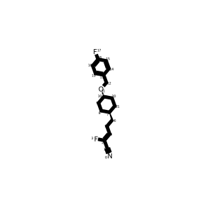 N#CC(F)=CCC[C@H]1CC[C@H](OCc2ccc(F)cc2)CC1